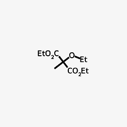 CCOC(=O)C(C)(OCC)C(=O)OCC